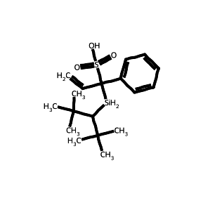 C=CC([SiH2]C(C(C)(C)C)C(C)(C)C)(c1ccccc1)S(=O)(=O)O